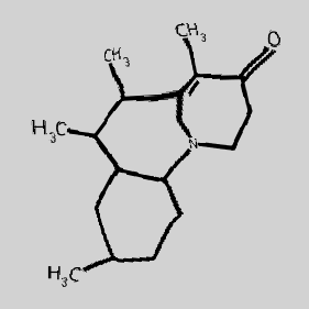 CC1=C2C(C)C(C)C3CC(C)CCC3N2CCC1=O